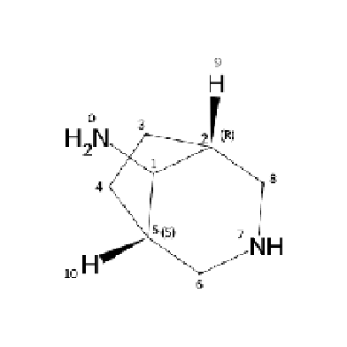 NC1[C@@H]2CC[C@H]1CNC2